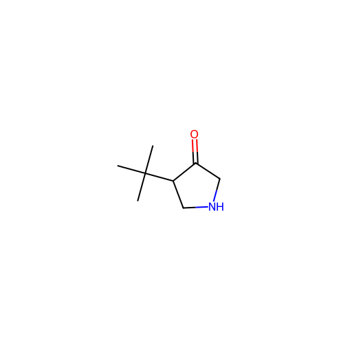 CC(C)(C)C1CNCC1=O